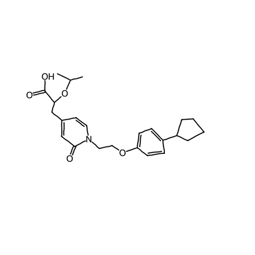 CC(C)OC(Cc1ccn(CCOc2ccc(C3CCCC3)cc2)c(=O)c1)C(=O)O